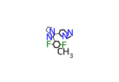 Cc1cc(F)c(-c2nc3n(c2-c2ccc4nccn4c2)CCC3)cc1F